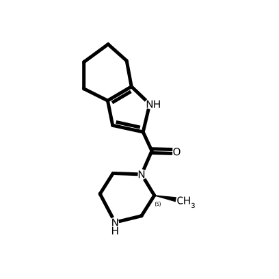 C[C@H]1CNCCN1C(=O)c1cc2c([nH]1)CCCC2